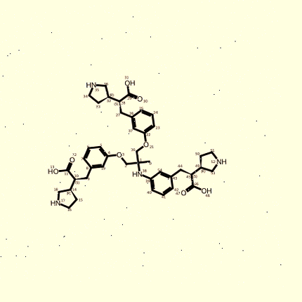 CC(COc1cccc(C[C@H](C(=O)O)[C@H]2CCNC2)c1)(COc1cccc(C[C@H](C(=O)O)[C@H]2CCNC2)c1)Nc1cccc(C[C@H](C(=O)O)[C@H]2CCNC2)c1